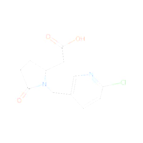 O=C(O)CC1CCC(=O)N1Cc1ccc(Cl)nc1